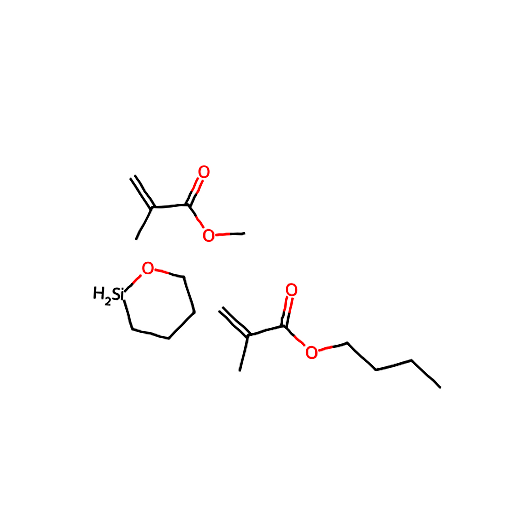 C1CC[SiH2]OC1.C=C(C)C(=O)OC.C=C(C)C(=O)OCCCC